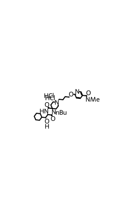 CCCCN1C(=O)[C@@H]([C@H](O)C2CCCCC2)NC(=O)C12CCN(CCCCOc1ccc(C(=O)NC)cn1)CC2.Cl.Cl